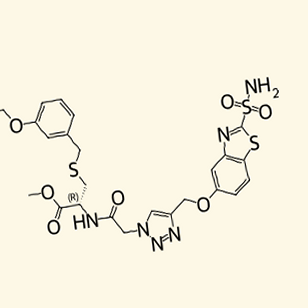 COC(=O)[C@H](CSCc1cccc(OCCF)c1)NC(=O)Cn1cc(COc2ccc3sc(S(N)(=O)=O)nc3c2)nn1